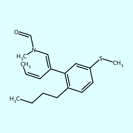 C/C=C\C(=C/N(C)C=O)c1cc(SC)ccc1CCCC